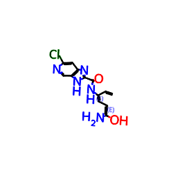 C=C/C(=C\C=C(/N)O)NC(=O)c1nc2cc(Cl)ncc2[nH]1